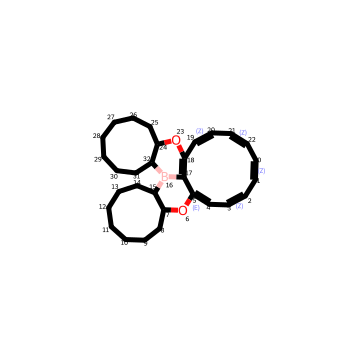 C1=C\C=C/C=C2/OC3CCCCCCCC3B3C2=C(/C=C\C=C/1)OC1CCCCCCCC31